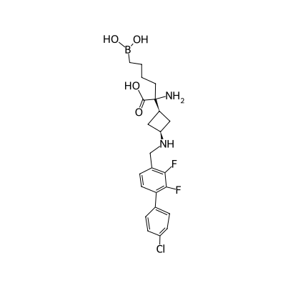 NC(CCCCB(O)O)(C(=O)O)[C@H]1C[C@@H](NCc2ccc(-c3ccc(Cl)cc3)c(F)c2F)C1